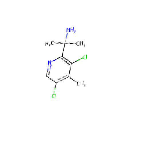 Cc1c(Cl)cnc(C(C)(C)N)c1Cl